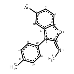 CC(=O)c1ccc2oc(=NC(F)(F)F)n(-c3ccc(C)cc3)c2c1